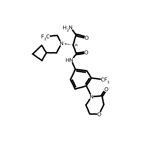 NC(=O)[C@H](C(=O)Nc1ccc(N2CCOCC2=O)c(C(F)(F)F)c1)N(CC1CCC1)CC(F)(F)F